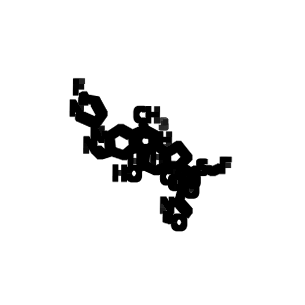 CC1=C[C@@H]2[C@H]([C@@H](O)C[C@@]3(C)[C@H]2CC[C@]3(OC(=O)c2cocn2)C(=O)SCF)[C@@]2(C)Cc3cnn(-c4ccc(F)nc4)c3C=C12